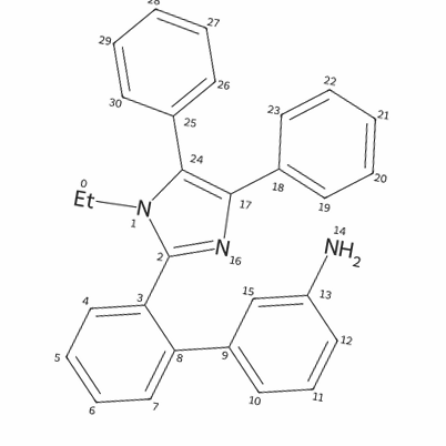 CCn1c(-c2ccccc2-c2cccc(N)c2)nc(-c2ccccc2)c1-c1ccccc1